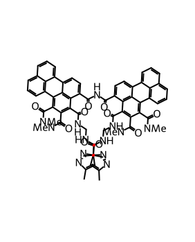 CNC(=O)c1c(C(=O)NCNC(=O)C2(C)C=C(C)N=N2)c2c(C(=O)NC(=O)c3ccc4c5cccc6cccc(c7c(C(=O)NC)c(C(=O)NC)c(C(=O)NCNC(=O)C8(C)C=C(C)N=N8)c3c47)c65)ccc3c4cccc5cccc(c(c1C(=O)NC)c23)c54